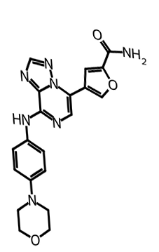 NC(=O)c1cc(-c2cnc(Nc3ccc(N4CCOCC4)cc3)c3ncnn23)co1